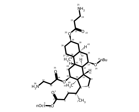 CCCCCCCCOC(=O)CC[C@@H](C)[C@H]1CC[C@H]2[C@@H]3[C@H](OCCCC)C[C@@H]4C[C@H](OC(=O)CCN)CC[C@]4(C)[C@H]3C[C@H](OC(=O)CCN)[C@]12C